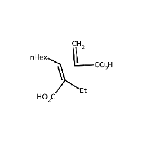 C=CC(=O)O.CCCCCC/C=C(/CC)C(=O)O